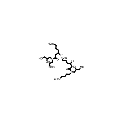 CCCCCCCCCCCCCC(CC)CC(=O)N(CCCCCCCCCCCC)CC(O)CO.CCCCCCCCCCCCCCN(CC(O)CO)C(=O)CC(CC)CCCCCCCCCCCCC